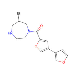 CCC1CNCCN(C(=O)c2cc(-c3ccoc3)co2)C1